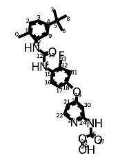 Cc1ccc(C(C)(C)C)cc1NC(=O)Nc1ccc(Oc2ccnc(NC(=O)OO)c2)cc1F